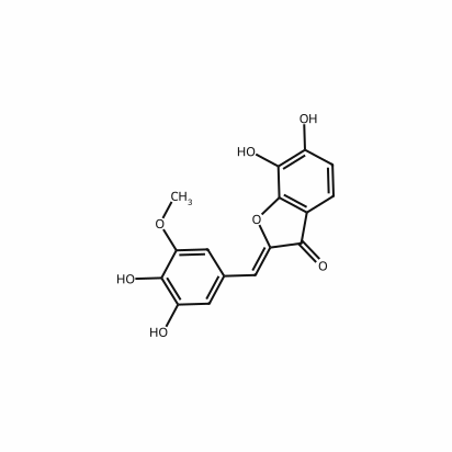 COc1cc(C=C2Oc3c(ccc(O)c3O)C2=O)cc(O)c1O